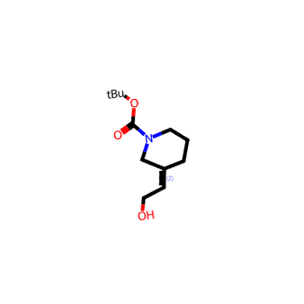 CC(C)(C)OC(=O)N1CCC/C(=C/CO)C1